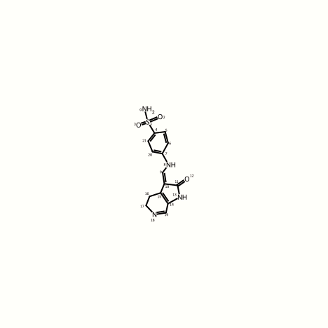 NS(=O)(=O)c1ccc(NC=C2C(=O)NC3=C2CCN=C3)cc1